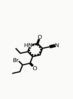 CCc1[nH]c(=O)c(C#N)cc1C(=O)C(Br)CC